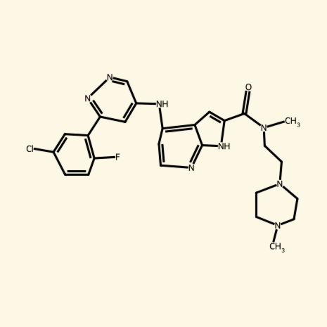 CN1CCN(CCN(C)C(=O)c2cc3c(Nc4cnnc(-c5cc(Cl)ccc5F)c4)ccnc3[nH]2)CC1